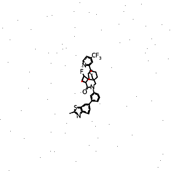 Cc1nc2ccc(-c3cccc(N(CC45CCC(c6cc(C(F)(F)F)ccn6)(CC4)CC5)C(=O)C45CC(F)(C4)C5)c3)cc2s1